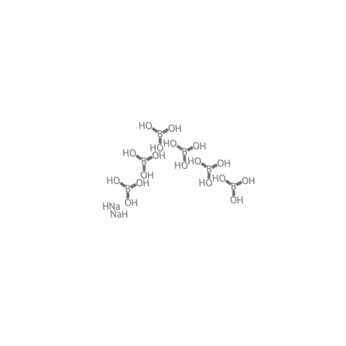 OB(O)O.OB(O)O.OB(O)O.OB(O)O.OB(O)O.OB(O)O.[NaH].[NaH]